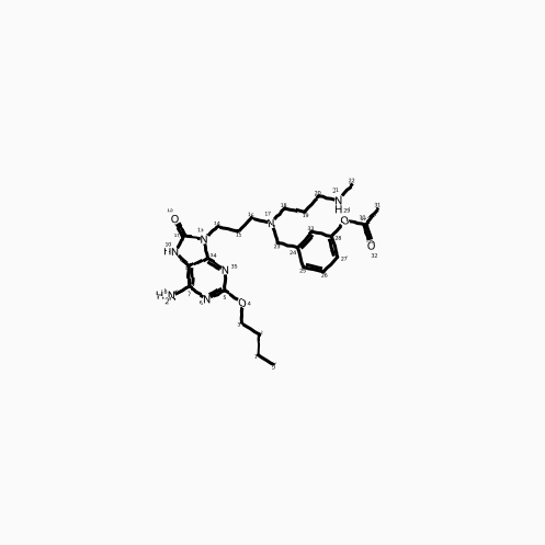 CCCCOc1nc(N)c2[nH]c(=O)n(CCCN(CCCNC)Cc3cccc(OC(C)=O)c3)c2n1